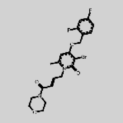 Cc1cc(OCc2ccc(F)cc2F)c(Br)c(=O)n1C/C=C/C(=O)N1CCOCC1